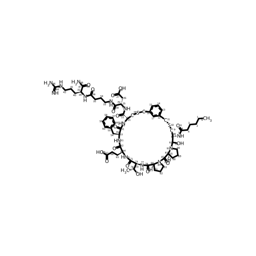 CCCCCC(=O)N[C@H]1CSCc2cccc(c2)CSC[C@@H](C(=O)N[C@@H](CC(=O)O)C(=O)NCCCC(=O)N[C@@H](CCCNC(=N)N)C(N)=O)NC(=O)[C@H](Cc2ccccc2)NC(=O)[C@H](CCC(=O)O)NC(=O)[C@H]([C@@H](C)O)NC(=O)[C@@H]2CCCN2C(=O)[C@@H]2CCCN2C1O